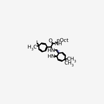 CCCCCCCCNC(=O)C(N/C=C1/C=CC(C)(C)C=CC1=N)C1=CC=CC(C)(I)C=C1